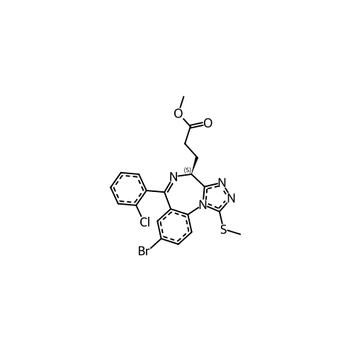 COC(=O)CC[C@@H]1N=C(c2ccccc2Cl)c2cc(Br)ccc2-n2c(SC)nnc21